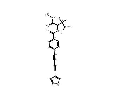 CC(O)(C(F)F)C(NC(=O)c1ccc(C#CC#Cc2c[nH]cn2)cc1)C(=O)NO